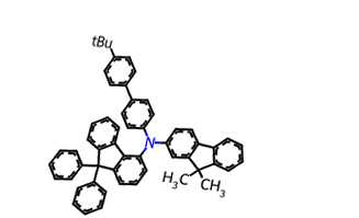 CC(C)(C)c1ccc(-c2ccc(N(c3ccc4c(c3)C(C)(C)c3ccccc3-4)c3cccc4c3-c3ccccc3C4(c3ccccc3)c3ccccc3)cc2)cc1